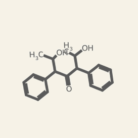 CC(O)C(C(=O)C(c1ccccc1)C(C)O)c1ccccc1